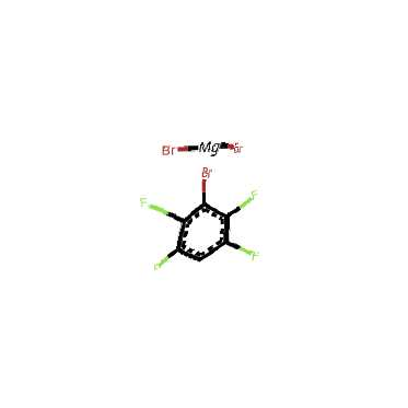 Fc1[c]c(F)c(F)c(Br)c1F.[Br][Mg][Br]